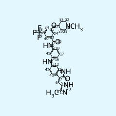 Cc1nc[nH]c1C=C1C(=O)Nc2cc(Nc3cccc(NC(=O)c4cc(OC5CCN(C)CC5)cc(C(F)(F)F)c4)c3)ccc21